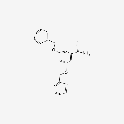 NC(=O)c1cc(OCc2ccccc2)cc(OCc2ccccc2)c1